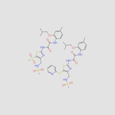 Cc1ccc(NC(=O)C(=O)Nc2nc(CNS(C)(=O)=O)c(S(C)(=O)=O)s2)c(OCC(C)C)c1.Cc1ccc(NC(=O)C(=O)Nc2nc(CNS(C)(=O)=O)c(Sc3ccccn3)s2)c(OCC(C)C)c1